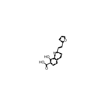 O=C(O)c1ccc2ccc(/C=C/c3ccco3)nc2c1O